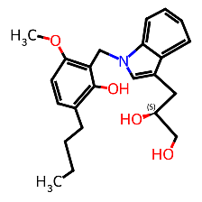 CCCCc1ccc(OC)c(Cn2cc(C[C@H](O)CO)c3ccccc32)c1O